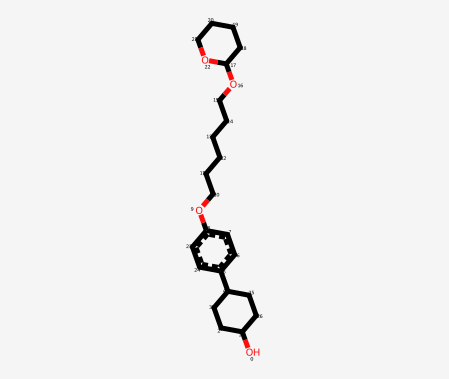 OC1CCC(c2ccc(OCCCCCCOC3CCCCO3)cc2)CC1